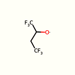 [O]C(CC(F)(F)F)C(F)(F)F